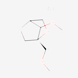 B[C@@H]1O[C@]2(COC)CSC1C2OC